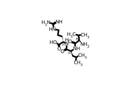 CC(C)C[C@H](NC(=O)[C@H](N)C(C)C)C(=O)N[C@@H](CCCNC(=N)N)C(=O)O